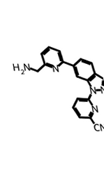 N#Cc1cccc(-n2ncc3ccc(-c4cccc(CN)n4)cc32)n1